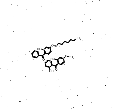 CCCCCCCCOc1ccc(C(=O)c2ccccc2)c(O)c1.COc1ccc(C(=O)c2ccccc2O)c(O)c1